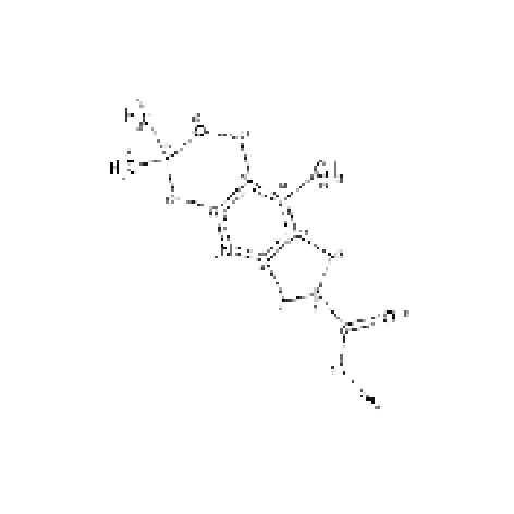 [2H]CC(=O)N1Cc2nc3c(c(C)c2C1)COC(C)(C)C3